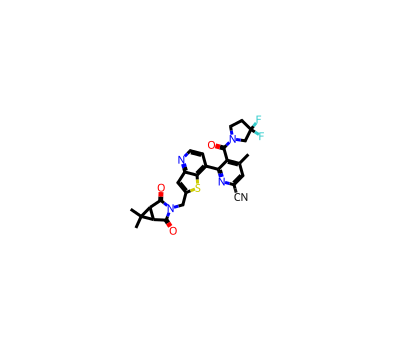 Cc1cc(C#N)nc(-c2ccnc3cc(CN4C(=O)C5C(C4=O)C5(C)C)sc23)c1C(=O)N1CCC(F)(F)C1